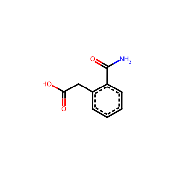 NC(=O)c1ccccc1CC(=O)O